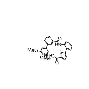 COC(=O)c1ccc(-c2ccccc2NC(=O)c2cccc(-c3cc(OC)cc(OC)c3)c2)s1